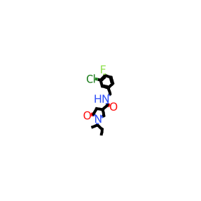 CCC(C)N1CC(C(=O)NCc2ccc(F)c(Cl)c2)CC1=O